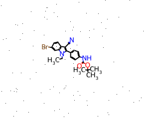 CCn1c(-c2ccc(NC(=O)OC(C)(C)C)cc2)c(C#N)c2ccc(Br)cc21